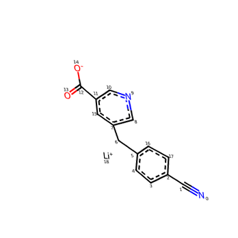 N#Cc1ccc(Cc2cncc(C(=O)[O-])c2)cc1.[Li+]